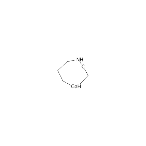 C1CNCC[CH2][GaH][CH2]1